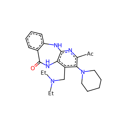 CCN(CC)Cc1c2c(nc(C(C)=O)c1N1CCCCC1)Nc1ccccc1C(=O)N2